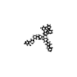 c1ccc(C2(c3ccccc3)c3ccccc3-c3cc(N(c4ccc(-c5cccc(-c6ccc7oc8ccccc8c7c6)c5)cc4)c4ccc(-c5ccc6c(c5)sc5ccccc56)cc4)ccc32)cc1